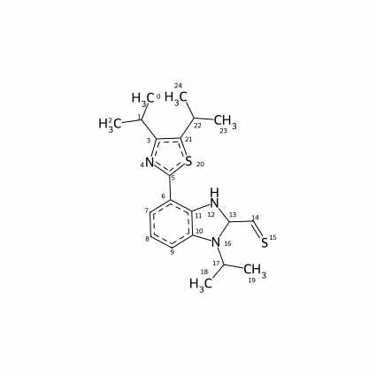 CC(C)c1nc(-c2cccc3c2NC(C=S)N3C(C)C)sc1C(C)C